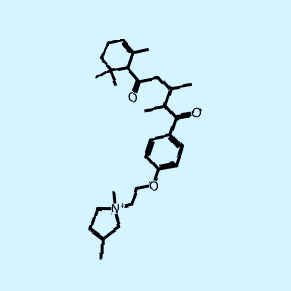 CC1=CCCC(C)(C)C1C(=O)CC(C)C(C)C(=O)c1ccc(OCC[N+]2(C)CCC(C)C2)cc1